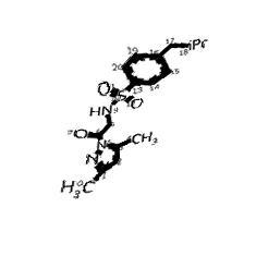 Cc1cc(C)n(C(=O)CNS(=O)(=O)c2ccc(CC(C)C)cc2)n1